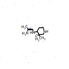 C/C(N)=C/NC1CCNCC1(C)C